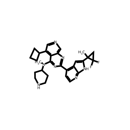 CN(c1nc(-c2ccnc3[nH]c(C4(C)CC4(F)F)cc23)nc2cncc(C3CCC3)c12)C1CCNCC1